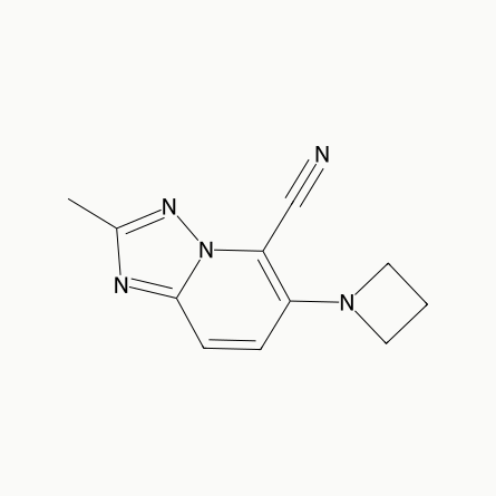 Cc1nc2ccc(N3CCC3)c(C#N)n2n1